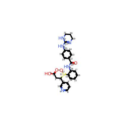 O=C(O)CC(c1cccnc1)[S+]([O-])c1ccccc1NC(=O)c1ccc(NC2=NCCCN2)cc1